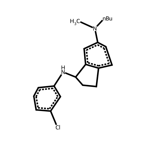 CCCCN(C)c1ccc2c(c1)C(Nc1cccc(Cl)c1)CC2